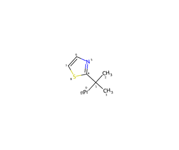 CCCC(C)(C)c1nccs1